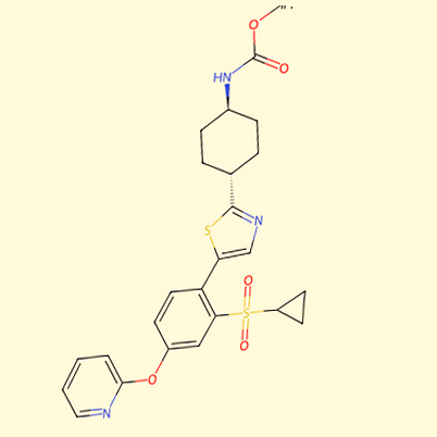 CC(C)OC(=O)N[C@H]1CC[C@H](c2ncc(-c3ccc(Oc4ccccn4)cc3S(=O)(=O)C3CC3)s2)CC1